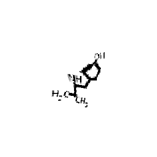 C=C(C)[C@@H](N)CC1C=CC(O)=CC1